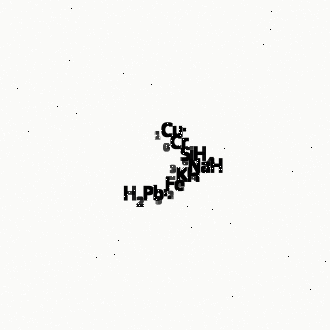 [Cr].[Cu].[Fe].[KH].[NaH].[PbH2].[SiH4]